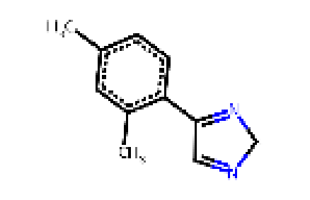 Cc1ccc(C2=N[C]N=C2)c(C)c1